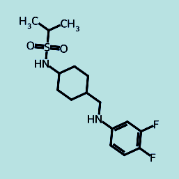 CC(C)S(=O)(=O)NC1CCC(CNc2ccc(F)c(F)c2)CC1